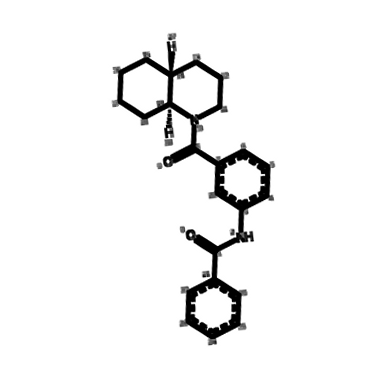 O=C(Nc1cccc(C(=O)N2CCC[C@H]3CCCC[C@@H]32)c1)c1ccccc1